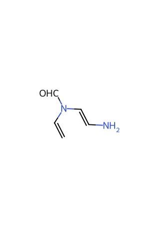 C=CN(C=O)C=CN